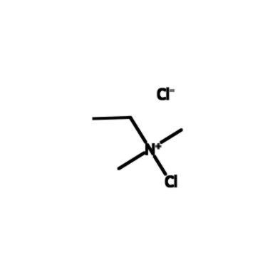 CC[N+](C)(C)Cl.[Cl-]